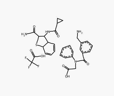 NC(=O)C1SC2C=CC=CC2C1NC(=O)C1CC1.NCc1cccc(C(=O)N(CC(=O)O)c2ccccc2)c1.O=C(O)C(F)(F)F